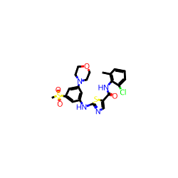 Cc1cccc(Cl)c1NC(=O)c1cnc(Nc2cc(N3CCOCC3)cc(S(C)(=O)=O)c2)s1